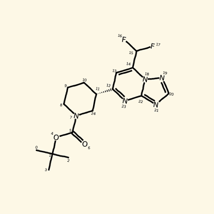 CC(C)(C)OC(=O)N1CCC[C@H](c2cc(C(F)F)n3ncnc3n2)C1